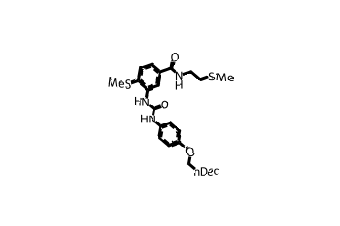 CCCCCCCCCCCOc1ccc(NC(=O)Nc2cc(C(=O)NCCSC)ccc2SC)cc1